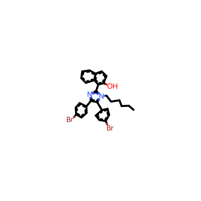 CCCCCCn1c(-c2c(O)ccc3ccccc23)nc(-c2ccc(Br)cc2)c1-c1ccc(Br)cc1